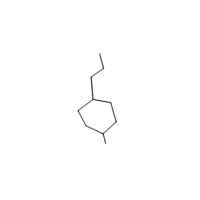 O=C(O)CCC1CCC(C(=O)O)CC1